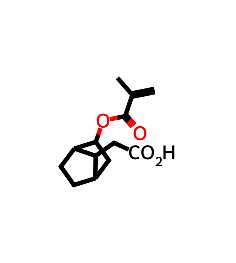 C=C(C)C(=O)OC1CC2CCC1C2CC(=O)O